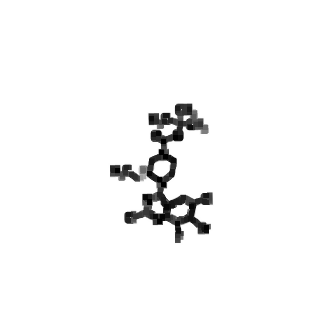 CC[C@@H]1CN(C(=O)OC(C)(C)C)CCN1c1nc(Cl)nc2c(F)c(Br)c(Cl)cc12